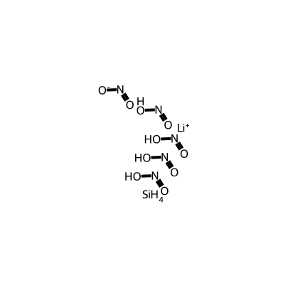 O=NO.O=NO.O=NO.O=NO.O=N[O-].[Li+].[SiH4]